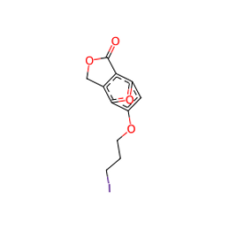 O=C1OCc2c1c1cc(OCCCI)c2o1